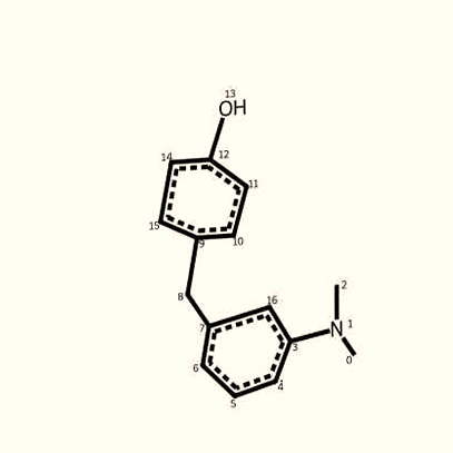 CN(C)c1[c]ccc(Cc2ccc(O)cc2)c1